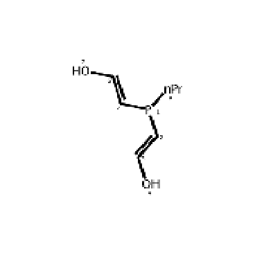 CCCP(/C=C/O)/C=C/O